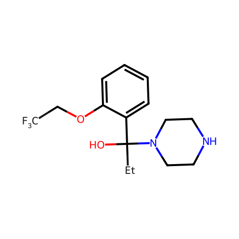 CCC(O)(c1ccccc1OCC(F)(F)F)N1CCNCC1